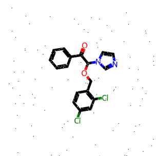 O=C(c1ccccc1)C(OCc1ccc(Cl)cc1Cl)n1ccnc1